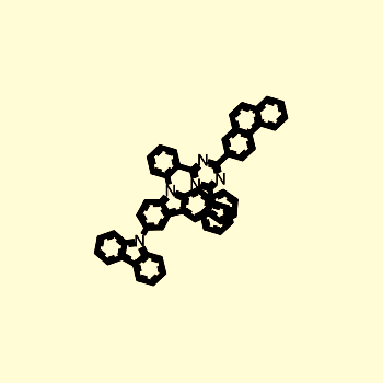 c1ccc(-c2nc(-c3ccc4c(ccc5ccccc54)c3)nc(-c3ccccc3-n3c4ccc(-n5c6ccccc6c6ccccc65)cc4c4cc5ccccc5cc43)n2)cc1